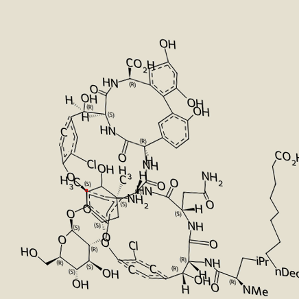 CCCCCCCCCCCCCCCCCC(=O)O.CN[C@H](CC(C)C)C(=O)N[C@H]1C(=O)N[C@@H](CC(N)=O)C(=O)N[C@H]2C(=O)N[C@H]3C(=O)N[C@H](C(=O)N[C@@H](C(=O)O)c4cc(O)cc(O)c4-c4cc3ccc4O)[C@H](O)c3ccc(c(Cl)c3)Oc3cc2cc(c3O[C@@H]2O[C@H](CO)[C@@H](O)[C@H](O)[C@H]2O[C@H]2C[C@](C)(N)C(O)[C@H](C)O2)Oc2ccc(cc2Cl)[C@H]1O